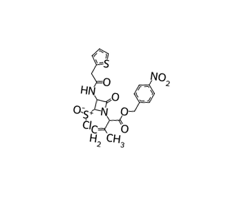 C=C(C)C(C(=O)OCc1ccc([N+](=O)[O-])cc1)N1C(=O)C(NC(=O)Cc2cccs2)C1[S+]([O-])Cl